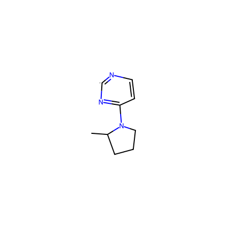 CC1CCCN1c1ccn[c]n1